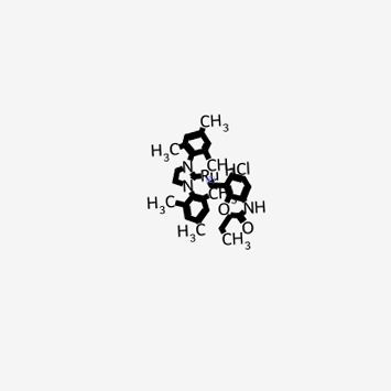 CCC1Oc2c(/[CH]=[Ru]/[CH]3N(c4c(C)cc(C)cc4C)CCN3c3c(C)cc(C)cc3C)cccc2NC1=O.Cl